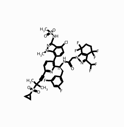 Cn1nc(NS(C)(=O)=O)c2c(Cl)ccc(-c3ccc(C#CC(C)(C)S(=O)(=O)C4CC4)nc3[C@H](Cc3cc(F)cc(F)c3)NC(=O)Cn3nc(C(F)F)c4c3C(F)(F)CCC4(F)F)c21